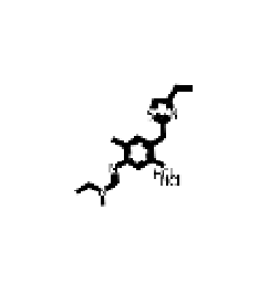 CCc1csc(Cc2cc(C)c(N=CN(C)CC)cc2C)n1.Cl.Cl